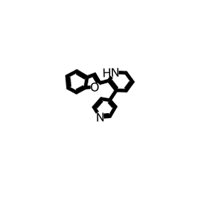 C1=CC(c2ccncc2)=C(c2cc3ccccc3o2)NC1